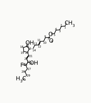 CCCCCCOC(=O)CC/C=C/CC[C@H]1C(O)CC[C@@H]1C=CC(O)C(F)CCCC